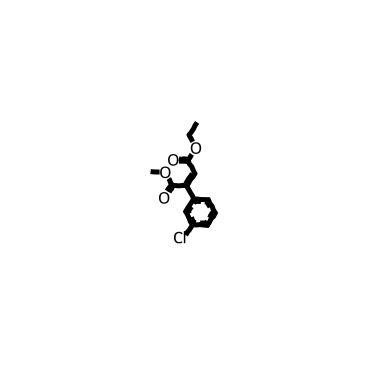 CCOC(=O)/C=C(\C(=O)OC)c1cccc(Cl)c1